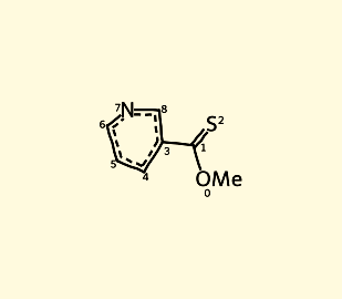 COC(=S)c1cccnc1